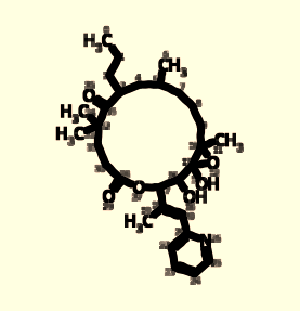 CCCC1CC(C)CCCC2(C)OC2(O)C(O)C(C(C)=Cc2ccccn2)OC(=O)CCC(C)(C)C1=O